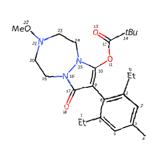 CCc1cc(C)cc(CC)c1-c1c(OC(=O)C(C)(C)C)n2n(c1=O)CCN(OC)CC2